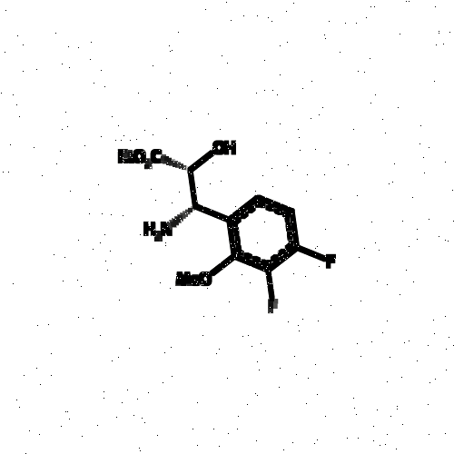 CCOC(=O)[C@H](O)[C@@H](N)c1ccc(F)c(F)c1OC